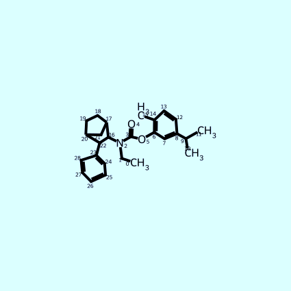 CCN(C(=O)Oc1cc(C(C)C)ccc1C)C1C2CCC(C2)C1c1ccccc1